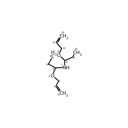 C=CCOC(CC)NC(CC)OCC=C